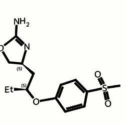 CC[C@@H](C[C@H]1COC(N)=N1)Oc1ccc(S(C)(=O)=O)cc1